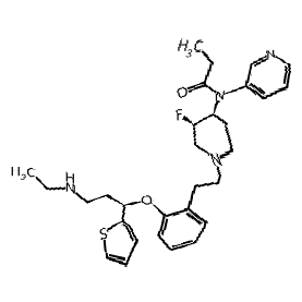 CCNCC[C@@H](Oc1ccccc1CCN1CC[C@H](N(C(=O)CC)c2cccnc2)[C@H](F)C1)c1cccs1